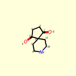 O=C1CCC(=O)C12CC[N]CC2